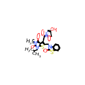 CC(C)Cn1c(=O)n(C)c(=O)c2c(C(=O)N3C[C@H](O)CO3)c(Cn3c(=O)sc4ccccc43)sc21